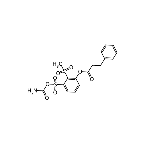 CS(=O)(=O)c1c(OC(=O)CCc2ccccc2)cccc1S(=O)(=O)OC(N)=O